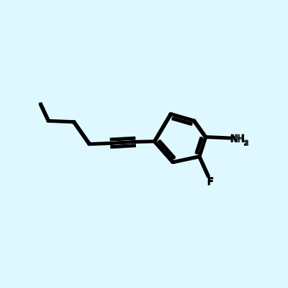 CCCCC#Cc1ccc(N)c(F)c1